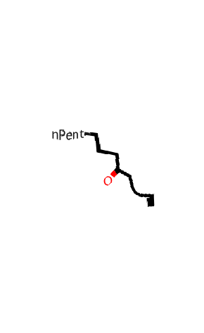 C=CCCC(=O)CCCCCCCC